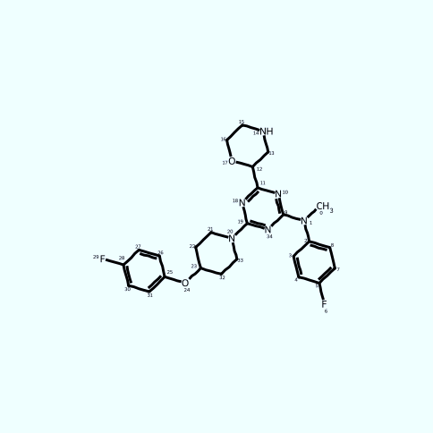 CN(c1ccc(F)cc1)c1nc(C2CNCCO2)nc(N2CCC(Oc3ccc(F)cc3)CC2)n1